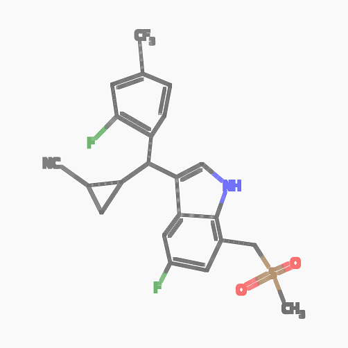 CS(=O)(=O)Cc1cc(F)cc2c(C(c3ccc(C(F)(F)F)cc3F)C3CC3C#N)c[nH]c12